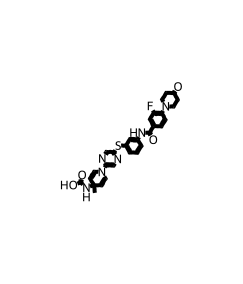 CC1(NC(=O)O)C=CN(c2cnc(Sc3cccc(NC(=O)c4ccc(N5CCC(=O)CC5)c(F)c4)c3)cn2)C=C1